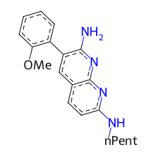 CCCCCNc1ccc2cc(-c3ccccc3OC)c(N)nc2n1